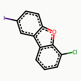 Clc1cccc2c1oc1ccc(I)cc12